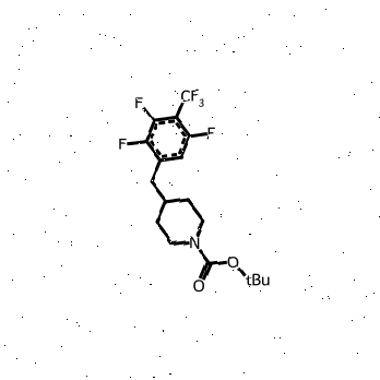 CC(C)(C)OC(=O)N1CCC(Cc2cc(F)c(C(F)(F)F)c(F)c2F)CC1